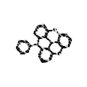 c1ccc(B2c3cccc4c3C3c5c(cccc5Oc5cccc2c53)O4)cc1